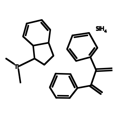 C=C(C(=C)c1ccccc1)c1ccccc1.[CH3][Ti]([CH3])[CH]1CCC2C=CC=CC21.[SiH4]